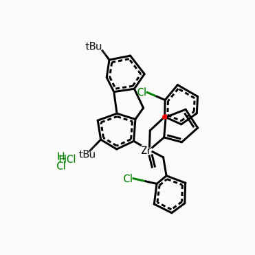 Cl.Cl.[CH2]=[Zr]([CH2]c1ccccc1Cl)([CH2]c1ccccc1Cl)([C]1=CC=CC1)[c]1cc(C(C)(C)C)cc2c1Cc1ccc(C(C)(C)C)cc1-2